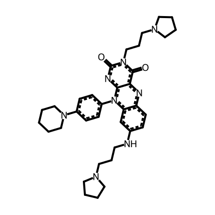 O=c1nc2n(-c3ccc(N4CCCCC4)cc3)c3cc(NCCCN4CCCC4)ccc3nc-2c(=O)n1CCCN1CCCC1